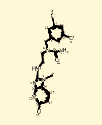 Cn1c(NCCN(Cc2cc(Cl)cc(Cl)c2)C(N)=O)nc2nc(Cl)ccc21